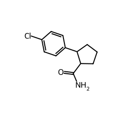 NC(=O)C1CCCC1c1ccc(Cl)cc1